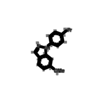 COc1ccc2c(c1)[SH](c1ccc(C(C)C)cc1)N=C2